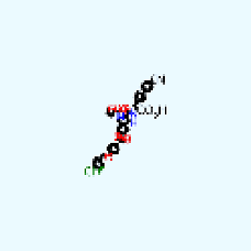 N#Cc1ccc(-c2ccc(CC(NC(=O)C3Cc4cc5c(cc4CN3C(=O)[C@@H]3CCCO3)O[C@@H](c3ccc(OCc4ccc(Cl)c(Cl)c4)cc3)CO5)C(=O)O)cc2)cc1